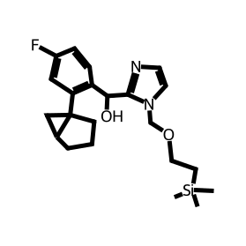 C[Si](C)(C)CCOCn1ccnc1C(O)c1ccc(F)cc1C12CCCC1C2